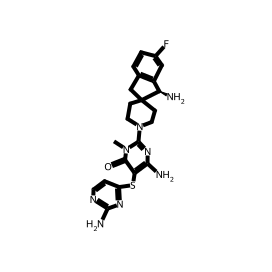 Cn1c(N2CCC3(CC2)Cc2ccc(F)cc2[C@H]3N)nc(N)c(Sc2ccnc(N)n2)c1=O